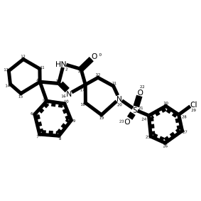 O=C1NC(C2(c3ccccc3)CCCCC2)=NC12CCN(S(=O)(=O)c1cccc(Cl)c1)CC2